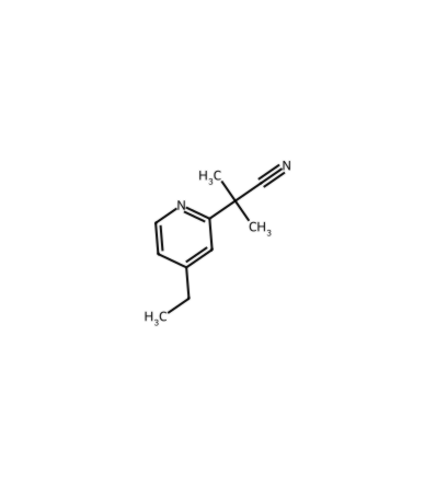 CCc1ccnc(C(C)(C)C#N)c1